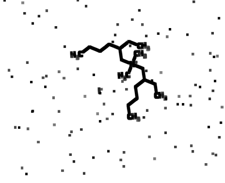 CCCCC(CC)C[N+](C)(C)CC(CC)CCCC.[I-]